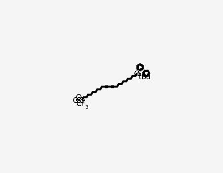 CC(C)(C)[Si](OCCCCCCCCCC#CC#CCCCCCCCCCOS(=O)(=O)C(F)(F)F)(c1ccccc1)c1ccccc1